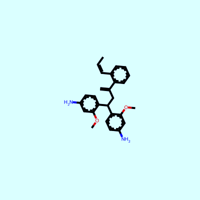 C=C(CC(c1ccc(N)cc1OC)c1ccc(N)cc1OC)c1ccccc1/C=C\C